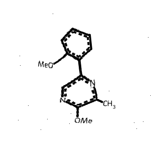 COc1ccccc1-c1cnc(OC)c(C)n1